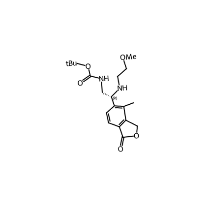 COCCN[C@@H](CNC(=O)OC(C)(C)C)c1ccc2c(c1C)COC2=O